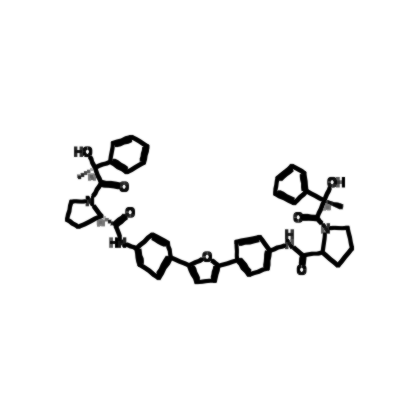 C[C@@](O)(C(=O)N1CCCC1C(=O)Nc1ccc(-c2ccc(-c3ccc(NC(=O)[C@@H]4CCCN4C(=O)[C@@](C)(O)c4ccccc4)cc3)o2)cc1)c1ccccc1